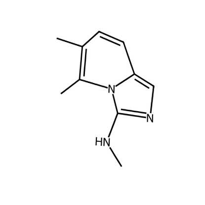 CNc1ncc2ccc(C)c(C)n12